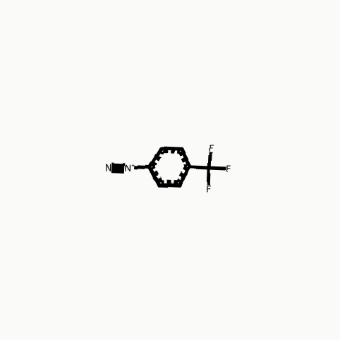 N#[N+]c1ccc(C(F)(F)F)cc1